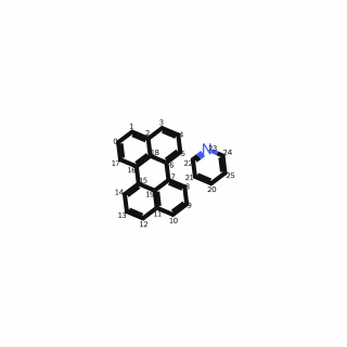 c1cc2cccc3c4cccc5cccc(c(c1)c23)c54.c1ccncc1